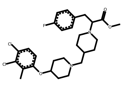 COC(=O)C(Cc1ccc(F)cc1)N1CCC(CN2CCC(Oc3ccc(Cl)c(Cl)c3C)CC2)CC1